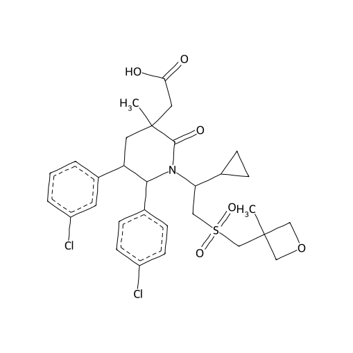 CC1(CS(=O)(=O)CC(C2CC2)N2C(=O)C(C)(CC(=O)O)CC(c3cccc(Cl)c3)C2c2ccc(Cl)cc2)COC1